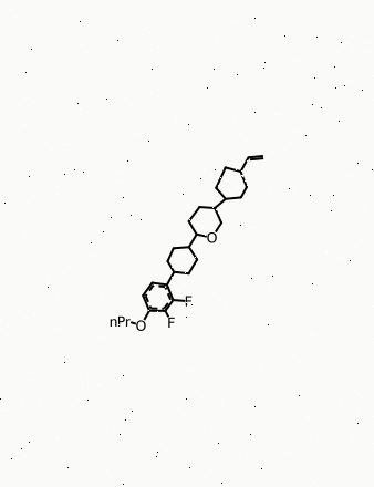 C=CC1CCC(C2CCC(C3CCC(c4ccc(OCCC)c(F)c4F)CC3)OC2)CC1